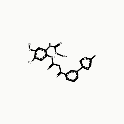 CCOc1cc(NC(=O)OC(C)(C)C)c(NC(=O)CC(=O)c2cccc(-c3ccc(C)nc3)c2)cc1C(F)(F)F